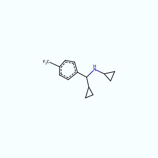 FC(F)(F)c1ccc(C(NC2CC2)C2CC2)cc1